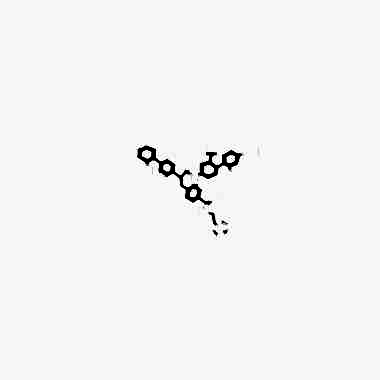 Cc1ccc(-c2ccc(C(Cc3ccc(C(=O)NCCS(=O)(=O)O)cc3)C(=O)Nc3ccc(-c4ccc(C)cc4C)c(C(F)(F)F)c3)cc2)c(C)c1